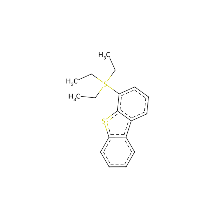 CCS(CC)(CC)c1cccc2c1sc1ccccc12